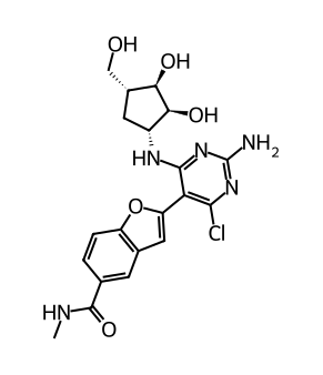 CNC(=O)c1ccc2oc(-c3c(Cl)nc(N)nc3N[C@@H]3C[C@H](CO)[C@@H](O)[C@H]3O)cc2c1